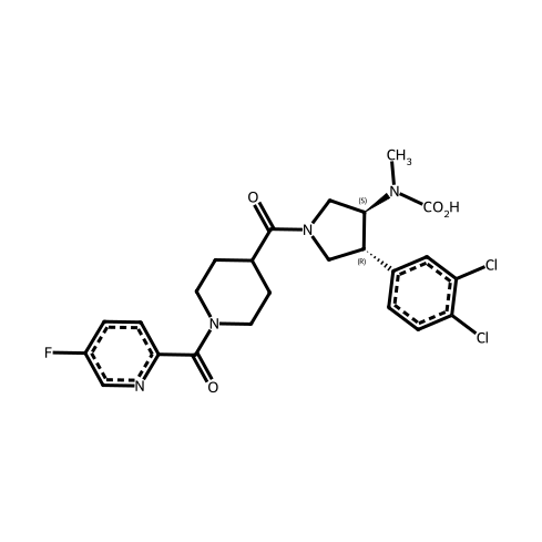 CN(C(=O)O)[C@@H]1CN(C(=O)C2CCN(C(=O)c3ccc(F)cn3)CC2)C[C@H]1c1ccc(Cl)c(Cl)c1